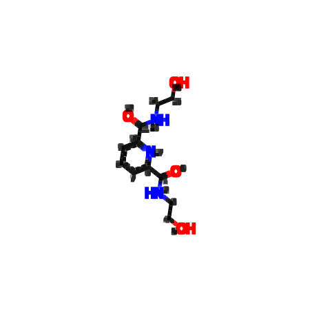 O=C(NCCO)c1cccc(C(=O)NCCO)n1